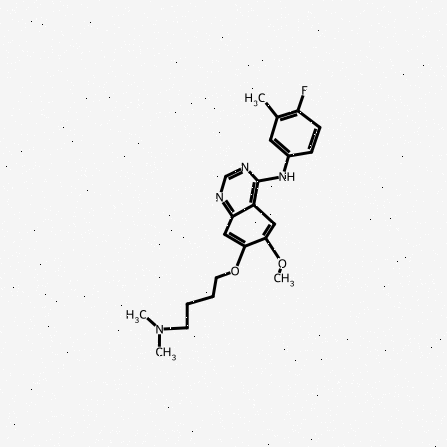 COc1cc2c(Nc3ccc(F)c(C)c3)ncnc2cc1OCCCCN(C)C